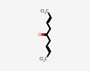 O=C(CC=CC(Cl)(Cl)Cl)CC=CC(Cl)(Cl)Cl